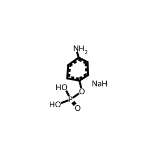 Nc1ccc(OP(=O)(O)O)cc1.[NaH]